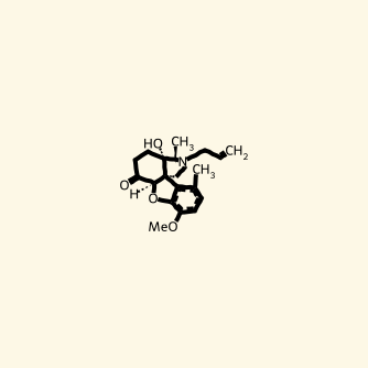 C=CCN1CC[C@]23c4c(C)ccc(OC)c4O[C@H]2C(=O)CC[C@@]3(O)[C@H]1C